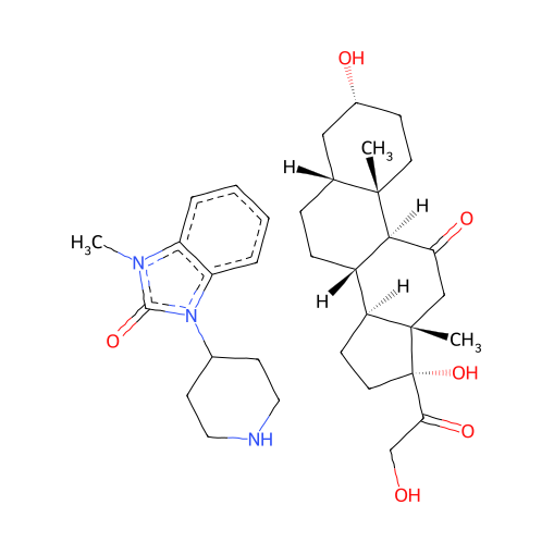 C[C@]12CC[C@@H](O)C[C@H]1CC[C@@H]1[C@@H]2C(=O)C[C@@]2(C)[C@H]1CC[C@]2(O)C(=O)CO.Cn1c(=O)n(C2CCNCC2)c2ccccc21